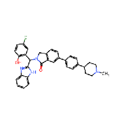 CN1CCC(c2ccc(-c3ccc4c(c3)C(=O)N(C(c3nc5ccccc5[nH]3)c3cc(Cl)ccc3O)C4)cc2)CC1